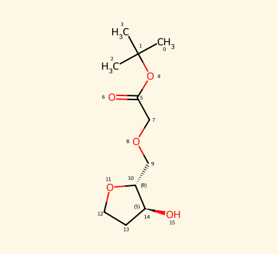 CC(C)(C)OC(=O)COC[C@H]1OCC[C@@H]1O